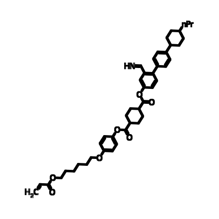 C=CC(=O)OCCCCCCOc1ccc(OC(=O)C2CCC(C(=O)Oc3ccc(-c4ccc(C5CCC(CCC)CC5)cc4)c(C=N)c3)CC2)cc1